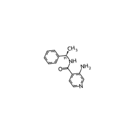 C[C@@H](NC(=O)c1ccncc1N)c1ccccc1